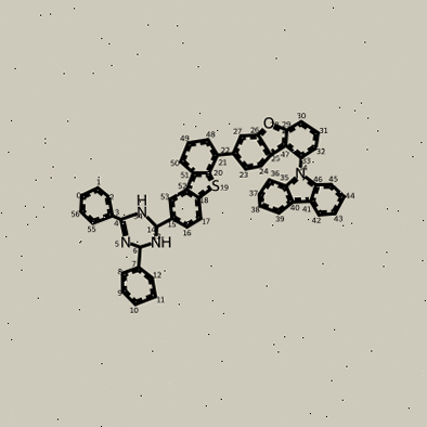 c1ccc(C2=NC(c3ccccc3)NC(c3ccc4sc5c(-c6ccc7c(c6)oc6cccc(-n8c9ccccc9c9ccccc98)c67)cccc5c4c3)N2)cc1